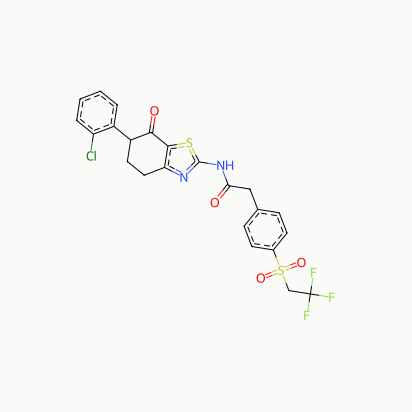 O=C(Cc1ccc(S(=O)(=O)CC(F)(F)F)cc1)Nc1nc2c(s1)C(=O)C(c1ccccc1Cl)CC2